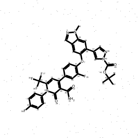 Cn1ncc2cc(Oc3ccc(-c4cc(C(F)(F)F)n(-c5ccc(F)cc5)c(=O)c4C(N)=O)cc3F)c(-c3cnn(C(=O)OC(C)(C)C)c3)cc21